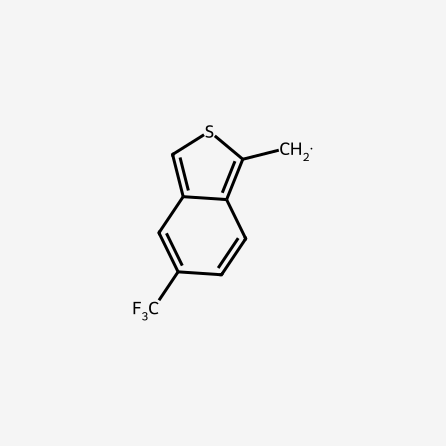 [CH2]c1scc2cc(C(F)(F)F)ccc12